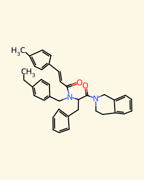 CCc1ccc(CN(C(=O)C=Cc2ccc(C)cc2)C(Cc2ccccc2)C(=O)N2CCc3ccccc3C2)cc1